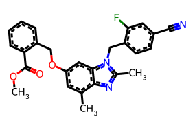 COC(=O)c1ccccc1COc1cc(C)c2nc(C)n(Cc3ccc(C#N)cc3F)c2c1